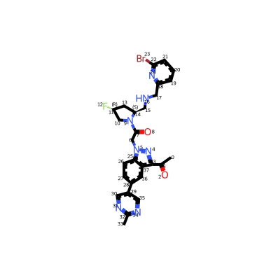 CC(=O)c1nn(CC(=O)N2C[C@H](F)C[C@H]2CNCc2cccc(Br)n2)c2ccc(-c3cnc(C)nc3)cc12